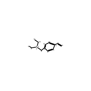 C=Cc1ccc(C[S+](CC)CC)cc1